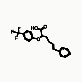 O=C(O)C(CCC=Cc1ccccc1)Oc1ccc(C(F)(F)F)cc1